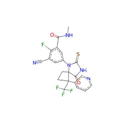 CNC(=O)c1cc(N2C(=S)NC(=O)C23CCC3(c2cccnc2)C(F)(F)F)cc(C#N)c1F